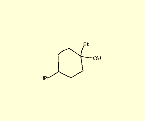 CCC1(O)CCC(C(C)C)CC1